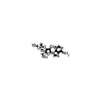 COC1[C@@H](OP(=O)(O)OC(C)(C)C)[C@@H](CC(C)(C)C)O[C@H]1n1cnc2c(N)ncnc21